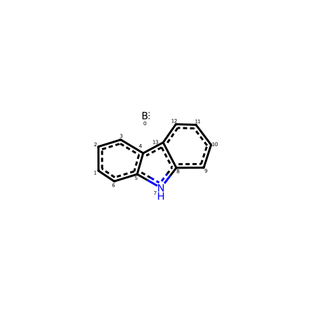 [B].c1ccc2c(c1)[nH]c1ccccc12